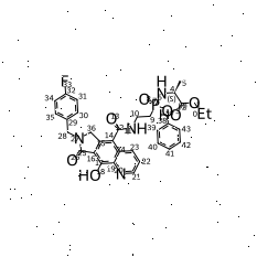 CCO[C@@H](O)[C@H](C)NP(=O)(CCNC(=O)c1c2c(c(O)c3ncccc13)C(=O)N(Cc1ccc(F)cc1)C2)Oc1ccccc1